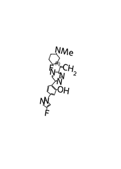 C=C(c1ncc(-c2ccc(-n3cc(F)cn3)cc2O)nn1)[C@H]1CC(NC)CCC1F